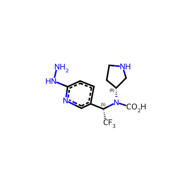 NNc1ccc([C@H](N(C(=O)O)[C@@H]2CCNC2)C(F)(F)F)cn1